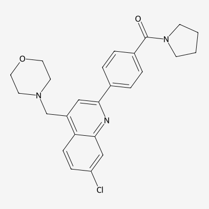 O=C(c1ccc(-c2cc(CN3CCOCC3)c3ccc(Cl)cc3n2)cc1)N1CCCC1